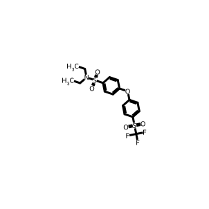 CCN(CC)S(=O)(=O)c1ccc(Oc2ccc(S(=O)(=O)C(F)(F)F)cc2)cc1